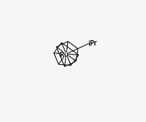 CC(C)[C]12[CH]3[CH]4[CH]5[CH]1[Ru]45321678[CH]2[CH]1[CH]6[CH]7[CH]28